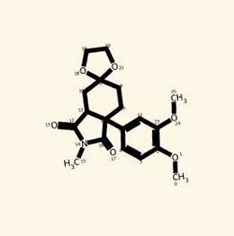 COc1ccc(C23CCC4(CC2C(=O)N(C)C3=O)OCCO4)cc1OC